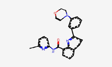 Cc1cccc(NC(=O)c2cccc3ccc(-c4cccc(N5CCOCC5)c4)nc23)n1